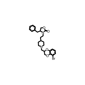 O=C1OCC(Cc2ccccc2)N1CCC1CCN(CC2COc3c(Br)cccc3O2)CC1